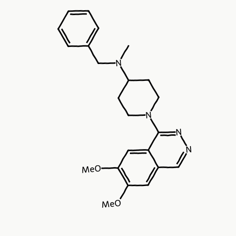 COc1cc2cnnc(N3CCC(N(C)Cc4ccccc4)CC3)c2cc1OC